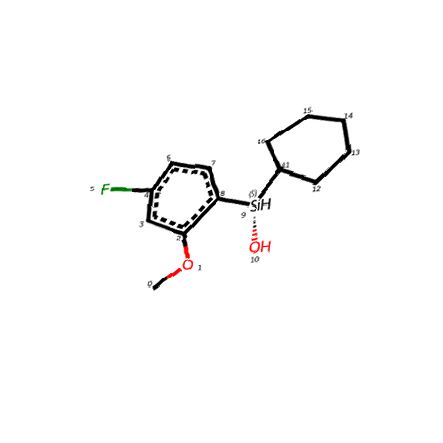 COc1cc(F)ccc1[Si@@H](O)C1CCCCC1